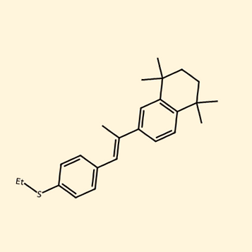 CCSc1ccc(C=C(C)c2ccc3c(c2)C(C)(C)CCC3(C)C)cc1